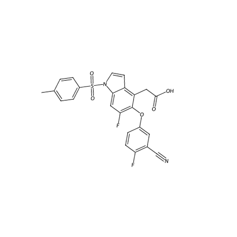 Cc1ccc(S(=O)(=O)n2ccc3c(CC(=O)O)c(Oc4ccc(F)c(C#N)c4)c(F)cc32)cc1